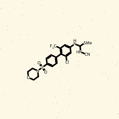 CSC(NC#N)Nc1cc(Cl)c(-c2ccc(S(=O)(=O)N3CCOCC3)cc2)c(C(F)(F)F)c1